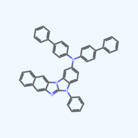 c1ccc(-c2ccc(N(c3ccc(-c4ccccc4)cc3)c3ccc4c(c3)n3c5cc6ccccc6cc5nc3n4-c3ccccc3)cc2)cc1